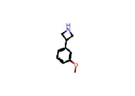 COc1cccc(C2CNC2)c1